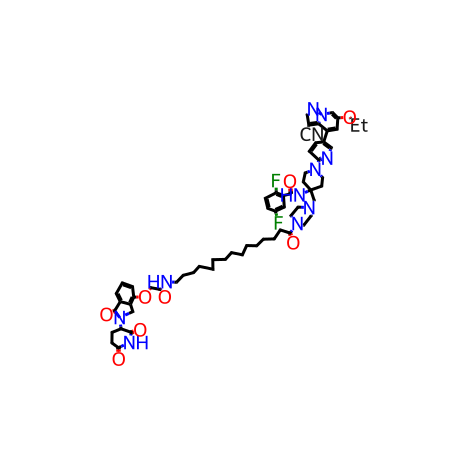 CCOc1cc(-c2ccc(N3CCC(CN4CCN(C(=O)CCCCCCCCCCCCCCNC(=O)COc5cccc6c5CN(C5CCC(=O)NC5=O)C6=O)CC4)(NC(=O)c4cc(F)ccc4F)CC3)nc2)c2c(C#N)cnn2c1